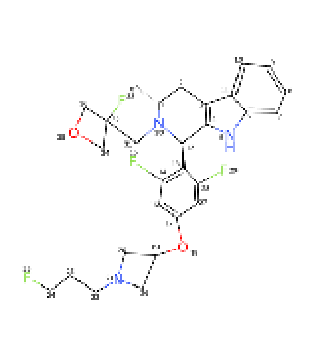 C[C@@H]1Cc2c([nH]c3ccccc23)[C@@H](c2c(F)cc(OC3CN(CCCF)C3)cc2F)N1CC1(F)COC1